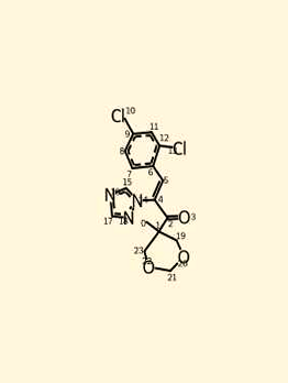 CC1(C(=O)C(=Cc2ccc(Cl)cc2Cl)n2cncn2)COCOC1